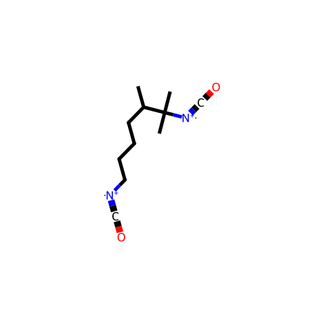 CC(CCCC[N+]=C=O)C(C)(C)[N+]=C=O